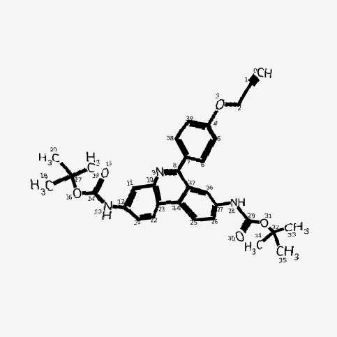 C#CCOc1ccc(-c2nc3cc(NC(=O)OC(C)(C)C)ccc3c3ccc(NC(=O)OC(C)(C)C)cc23)cc1